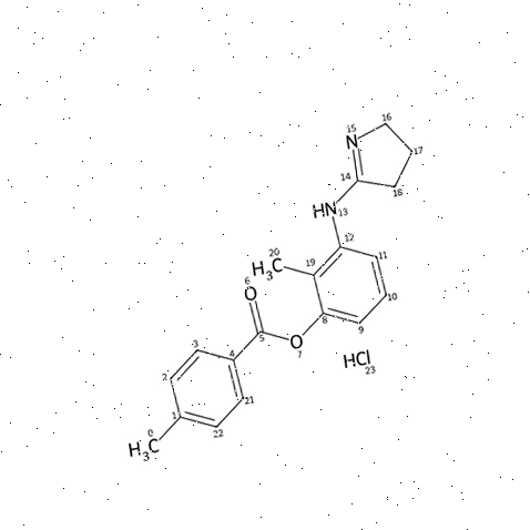 Cc1ccc(C(=O)Oc2cccc(NC3=NCCC3)c2C)cc1.Cl